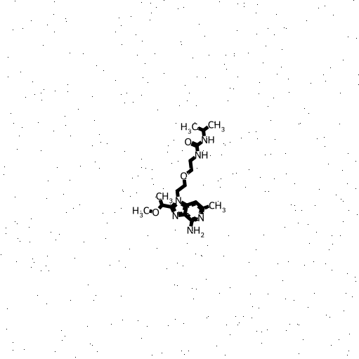 COC(C)c1nc2c(N)nc(C)cc2n1CCOCCNC(=O)NC(C)C